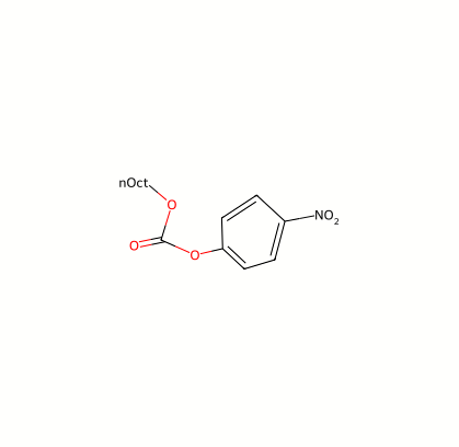 CCCCCCCCOC(=O)Oc1ccc([N+](=O)[O-])cc1